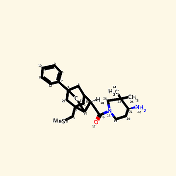 CSCC12CC3CC(c4ccccc4)(CC1[C@@H]3C(=O)N1CC[C@H](N)C(C)(C)C1)C2